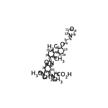 Cc1c(OCCCN2CCOCC2)cccc1-c1cccc(-c2nc3cc(CN(C)CC(=O)O)c(N(C)C)cc3o2)c1C